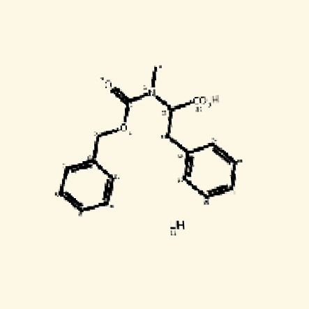 CN(C(=O)OCc1ccccc1)C(Cc1ccccc1)C(=O)O.[LiH]